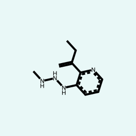 C=C(CC)c1ncccc1NNNC